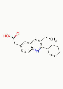 CCc1cc2cc(CC(=O)O)ccc2nc1C1C=CCCC1